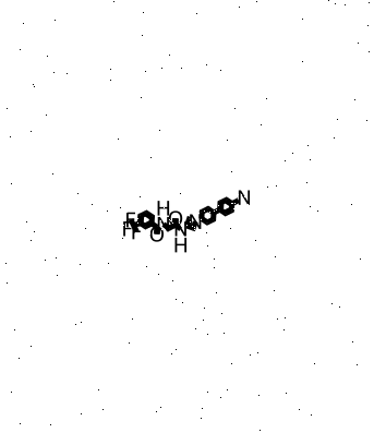 N#Cc1ccc(C2CCC(N3CC(NC(=O)CNC(=O)c4cccc(C(F)(F)F)c4)C3)CC2)cc1